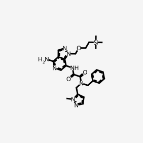 Cn1nccc1CN(Cc1ccccc1)C(=O)C(=O)Nc1cnc(N)c2cnn(COCC[Si](C)(C)C)c12